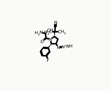 C[C@@H](N)C(=O)N1[C@H](c2cccc(F)c2)C(N=[N+]=N)C[C@@H]1C(C)(C)C#N